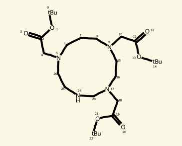 CC(C)(C)OC(=O)CN1CCCN(CC(=O)OC(C)(C)C)CCN(CC(=O)OC(C)(C)C)CNCC1